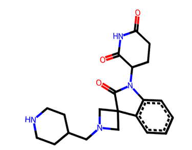 O=C1CCC(N2C(=O)C3(CN(CC4CCNCC4)C3)c3ccccc32)C(=O)N1